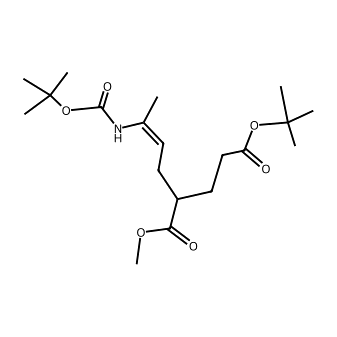 COC(=O)C(CC=C(C)NC(=O)OC(C)(C)C)CCC(=O)OC(C)(C)C